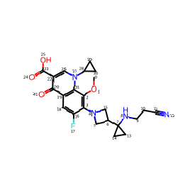 COc1c(N2CC(C3(NCCC#N)CC3)C2)c(F)cc2c(=O)c(C(=O)O)cn(C3CC3)c12